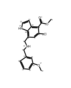 COC(=O)c1c(Cl)cc(CNCc2cccc(OC)c2)c2[nH]ccc12